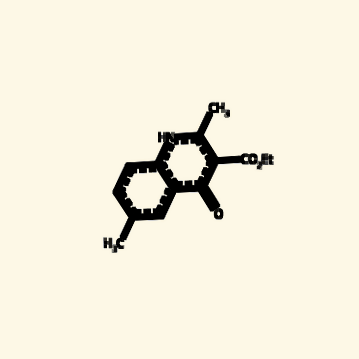 CCOC(=O)c1c(C)[nH]c2ccc(C)cc2c1=O